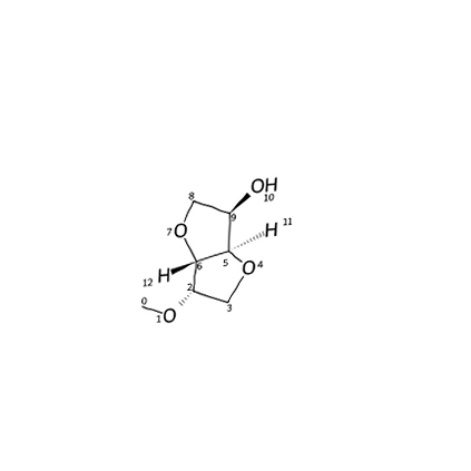 CO[C@H]1CO[C@H]2[C@H]1OC[C@H]2O